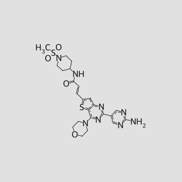 CS(=O)(=O)N1CCC(NC(=O)/C=C/c2cc3nc(-c4cnc(N)nc4)nc(N4CCOCC4)c3s2)CC1